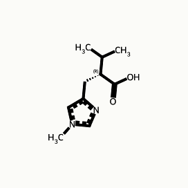 CC(C)[C@@H](Cc1cn(C)cn1)C(=O)O